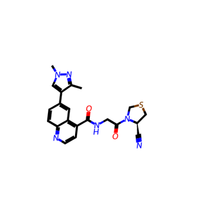 Cc1nn(C)cc1-c1ccc2nccc(C(=O)NCC(=O)N3CSC[C@H]3C#N)c2c1